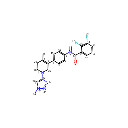 CC1=C(c2ccc(NC(=O)c3cccc(F)c3F)cc2)CN(c2nnn(C)n2)CC1